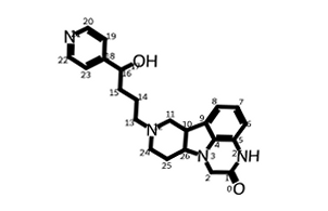 O=C1CN2c3c(cccc3C3CN(CCCC(O)c4ccncc4)CCC32)N1